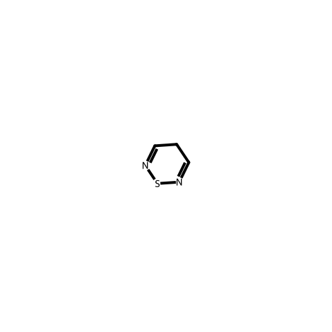 C1=NSN=CC1